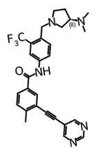 Cc1ccc(C(=O)Nc2ccc(CN3CC[C@@H](N(C)C)C3)c(C(F)(F)F)c2)cc1C#Cc1cncnc1